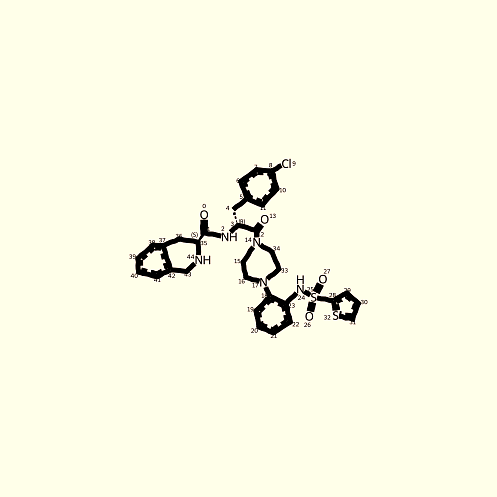 O=C(N[C@H](Cc1ccc(Cl)cc1)C(=O)N1CCN(c2ccccc2NS(=O)(=O)c2cccs2)CC1)[C@@H]1Cc2ccccc2CN1